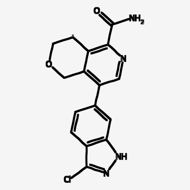 NC(=O)c1ncc(-c2ccc3c(Cl)n[nH]c3c2)c2c1[CH]COC2